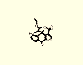 CCOC(=O)C(O)C1(C)c2ccccc2C(=O)c2occ(C(=O)Cl)c21